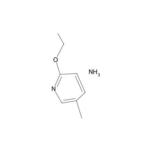 CCOc1ccc(C)cn1.N